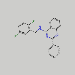 Fc1ccc(F)c(CNc2nc(-c3ccccc3)nc3ccccc23)c1